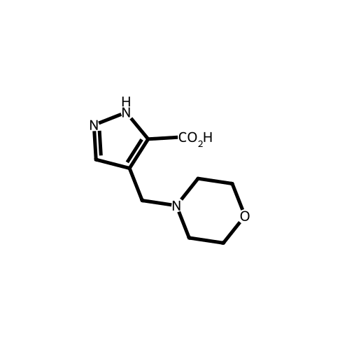 O=C(O)c1[nH]ncc1CN1CCOCC1